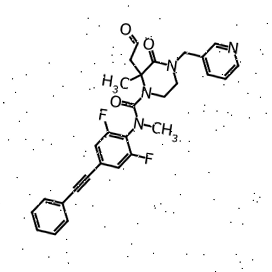 CN(C(=O)N1CCN(Cc2cccnc2)C(=O)C1(C)CC=O)c1c(F)cc(C#Cc2ccccc2)cc1F